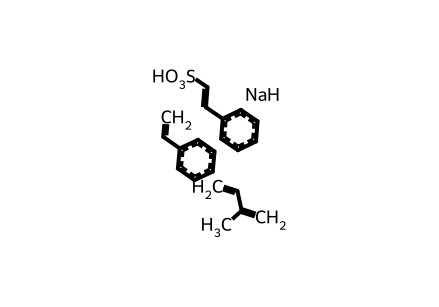 C=CC(=C)C.C=Cc1ccccc1.O=S(=O)(O)C=Cc1ccccc1.[NaH]